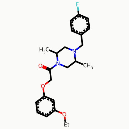 CCOc1cccc(OCC(=O)N2CC(C)N(Cc3ccc(F)cc3)CC2C)c1